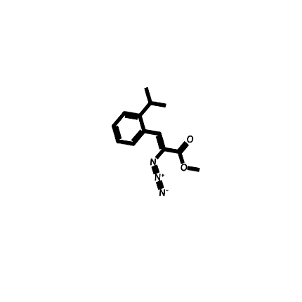 COC(=O)/C(=C/c1ccccc1C(C)C)N=[N+]=[N-]